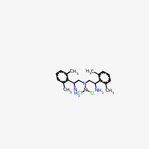 Cc1cccc(C)c1C(N)C[N](CC(N)c1c(C)cccc1C)[Ni]([Cl])[Cl]